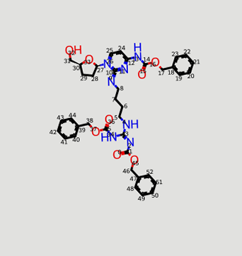 O=C(/N=C(/NCCCC/N=c1\nc(NC(=O)OCc2ccccc2)ccn1[C@H]1CC[C@@H](CO)O1)NC(=O)OCc1ccccc1)OCc1ccccc1